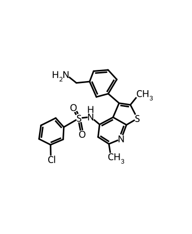 Cc1cc(NS(=O)(=O)c2cccc(Cl)c2)c2c(-c3cccc(CN)c3)c(C)sc2n1